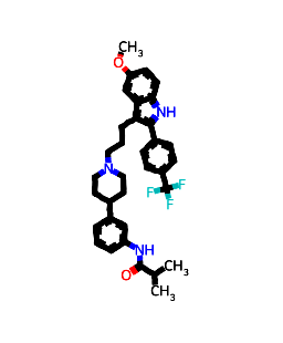 COc1ccc2[nH]c(-c3ccc(C(F)(F)F)cc3)c(CCCN3CCC(c4cccc(NC(=O)C(C)C)c4)CC3)c2c1